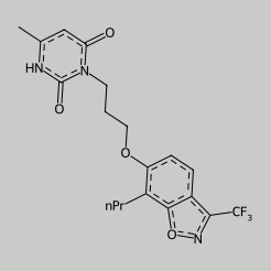 CCCc1c(OCCCn2c(=O)cc(C)[nH]c2=O)ccc2c(C(F)(F)F)noc12